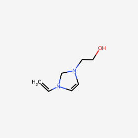 C=CN1C=CN(CCO)C1